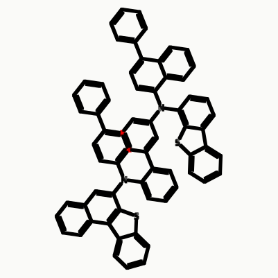 c1ccc(-c2ccc(N(c3ccccc3-c3cccc(N(c4ccc(-c5ccccc5)c5ccccc45)c4cccc5c4sc4ccccc45)c3)c3cc4ccccc4c4c3sc3ccccc34)cc2)cc1